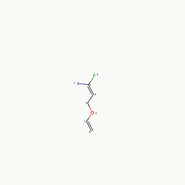 C=COCC=C(F)I